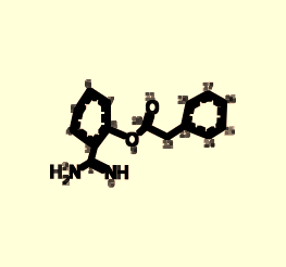 N=C(N)c1ccccc1OC(=O)Cc1ccccc1